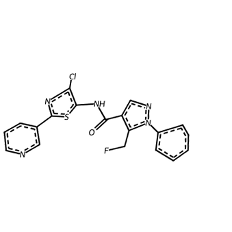 O=C(Nc1sc(-c2cccnc2)nc1Cl)c1cnn(-c2ccccc2)c1CF